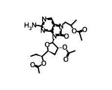 CC[C@H](OC(C)=O)[C@@H]1C[C@@H](OC(C)=O)[C@H](n2c(=O)n(CC(C)OC(C)=O)c3cnc(N)nc32)O1